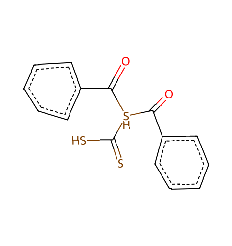 O=C(c1ccccc1)[SH](C(=O)c1ccccc1)C(=S)S